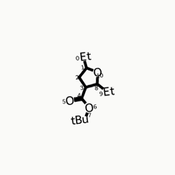 CCC1CC(C(=O)OC(C)(C)C)C(CC)O1